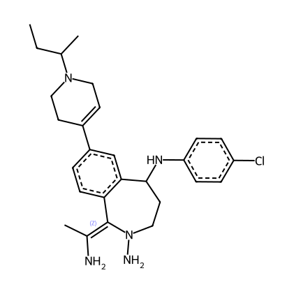 CCC(C)N1CC=C(c2ccc3c(c2)C(Nc2ccc(Cl)cc2)CCN(N)/C3=C(/C)N)CC1